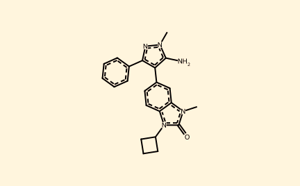 Cn1nc(-c2ccccc2)c(-c2ccc3c(c2)n(C)c(=O)n3C2CCC2)c1N